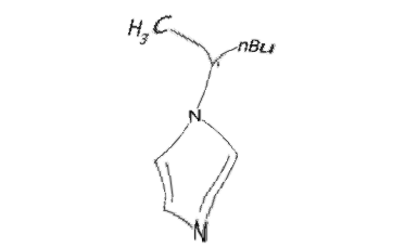 CCCC[C](C)n1ccnc1